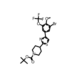 COc1c(Br)cc(-c2csc(C3CCN(C(=O)OC(C)(C)C)CC3)n2)cc1OC(F)(F)F